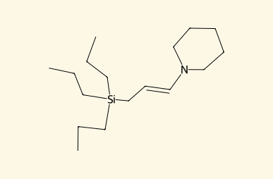 CCC[Si](CC=CN1CCCCC1)(CCC)CCC